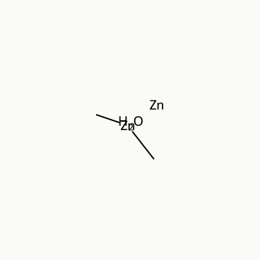 O.[CH3][Zn][CH3].[Zn]